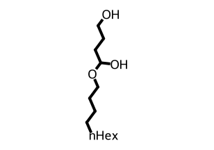 CCCCCCCCCCOC(O)CCCO